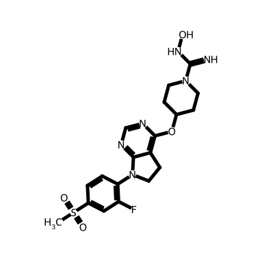 CS(=O)(=O)c1ccc(N2CCc3c(OC4CCN(C(=N)NO)CC4)ncnc32)c(F)c1